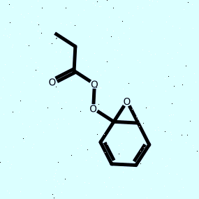 CCC(=O)OOC12C=CC=CC1O2